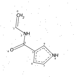 C=CNC(=O)c1cc[nH]c1